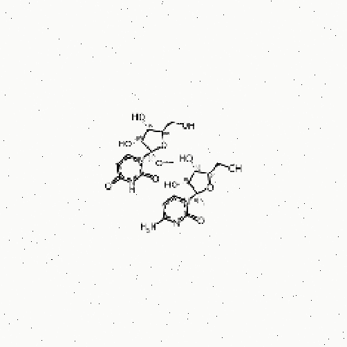 CO[C@@]1(n2ccc(=O)[nH]c2=O)O[C@H](CO)[C@@H](O)[C@H]1O.C[C@@]1(n2ccc(N)nc2=O)O[C@H](CO)[C@@H](O)[C@H]1O